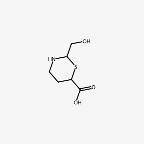 O=C(O)C1CCNC(CO)S1